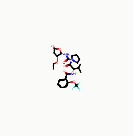 CCO[C@H]1CC(=O)O[C@H]1NC(=O)[N+]1(C(=O)[C@@H](NC(=O)c2ccccc2OC(F)(F)F)C(C)C)CCCC1